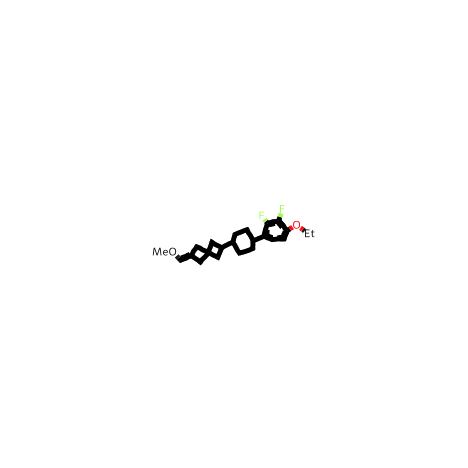 CCOc1ccc(C2CCC(C3CC4(CC(=COC)C4)C3)CC2)c(F)c1F